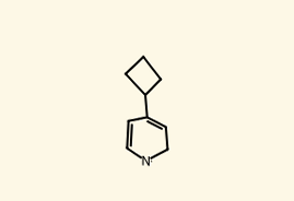 C1=CC(C2CCC2)=CC[N]1